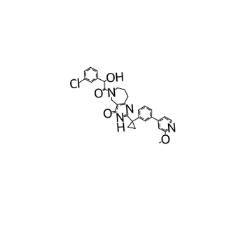 COc1cc(-c2cccc(C3(c4nc5c(c(=O)[nH]4)CN(C(=O)[C@H](O)c4cccc(Cl)c4)CCC5)CC3)c2)ccn1